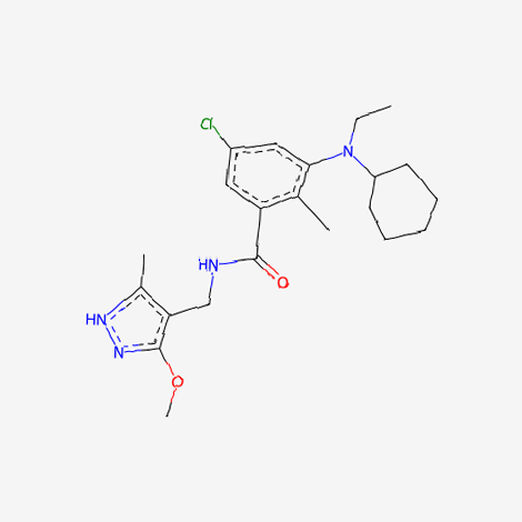 CCN(c1cc(Cl)cc(C(=O)NCc2c(OC)n[nH]c2C)c1C)C1CCCCC1